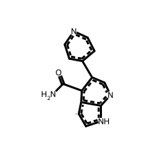 NC(=O)c1c(-c2ccncc2)cnc2[nH]c[c]c12